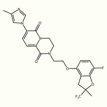 Cc1cn(-c2ccc3n(c2=O)CCN(CCOc2ccc(F)c4c2CC(C)(C(F)(F)F)O4)C3=O)cn1